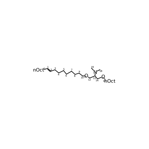 CCCCCCCCC=CCCCCCCCCOCC(COCCCCCCCC)N(C)C